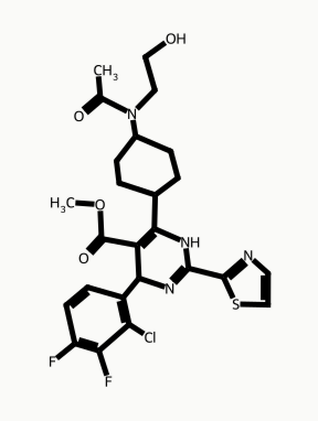 COC(=O)C1=C(C2CCC(N(CCO)C(C)=O)CC2)NC(c2nccs2)=NC1c1ccc(F)c(F)c1Cl